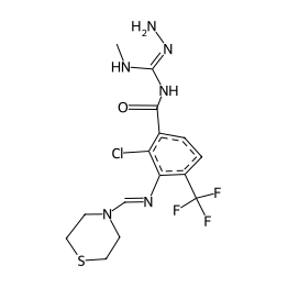 CN/C(=N\N)NC(=O)c1ccc(C(F)(F)F)c(/N=C/N2CCSCC2)c1Cl